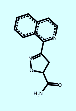 NC(=O)C1CC(c2nccc3ccccc23)=NO1